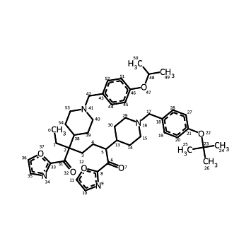 CCC(CCC(C(=O)c1ncco1)C1CCN(Cc2ccc(OC(C)(C)C)cc2)CC1)(C(=O)c1ncco1)C1CCN(Cc2ccc(OC(C)C)cc2)CC1